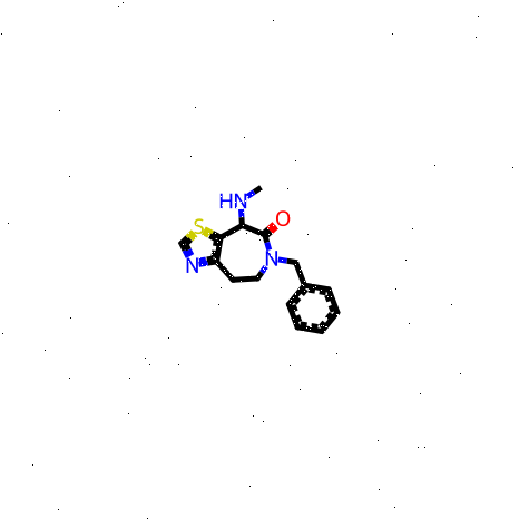 CNC1C(=O)N(Cc2ccccc2)CCc2ncsc21